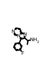 CC(N)c1nc2ccncn2c1-c1cccc(F)c1